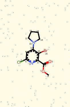 COC(=O)c1nc(Cl)cc(N2CCCC2)c1Br